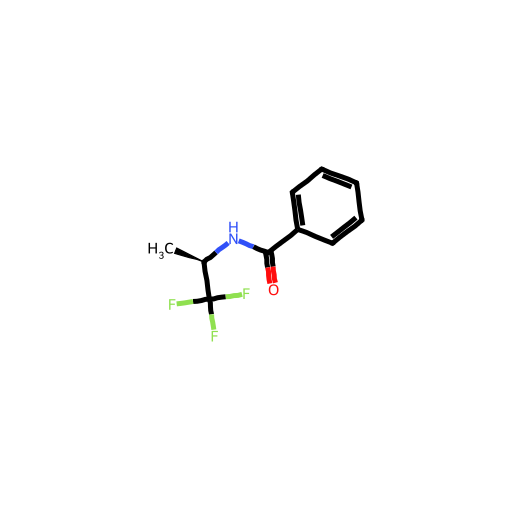 C[C@@H](NC(=O)c1ccccc1)C(F)(F)F